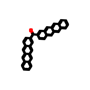 O=C(c1ccc2cc3cc4ccccc4cc3cc2c1)c1ccc2cc3cc4ccccc4cc3cc2c1